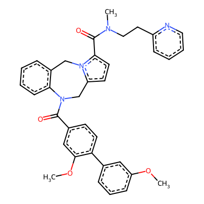 COc1cccc(-c2ccc(C(=O)N3Cc4ccc(C(=O)N(C)CCc5ccccn5)n4Cc4ccccc43)cc2OC)c1